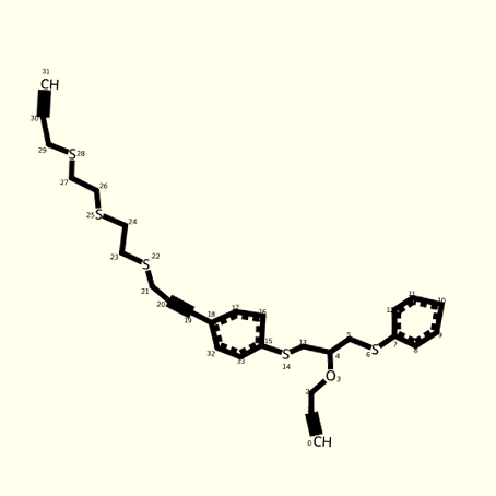 C#CCOC(CSc1ccccc1)CSc1ccc(C#CCSCCSCCSCC#C)cc1